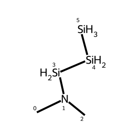 CN(C)[SiH2][SiH2][SiH3]